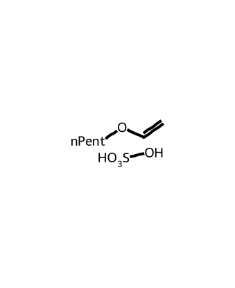 C=COCCCCC.O=S(=O)(O)O